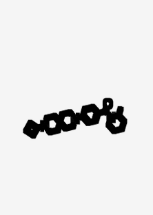 CC1CCCCN1C(=O)c1ccc(N2CCC3(CC2)CCN(C2CCC2)CC3)cc1